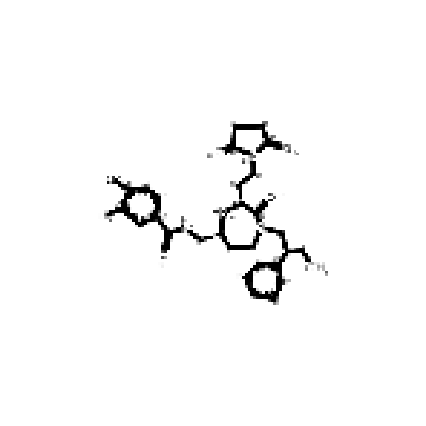 CCC(CN1CC[C@@H](CNC(=O)c2ccc(Cl)c(Cl)c2)N[C@@H](CCN2C(=O)CCC2=O)C1=O)c1ccccc1